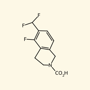 O=C(O)N1CCc2c(ccc(C(F)F)c2F)C1